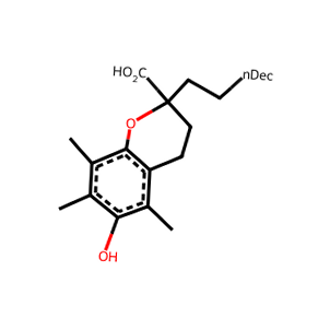 CCCCCCCCCCCCC1(C(=O)O)CCc2c(C)c(O)c(C)c(C)c2O1